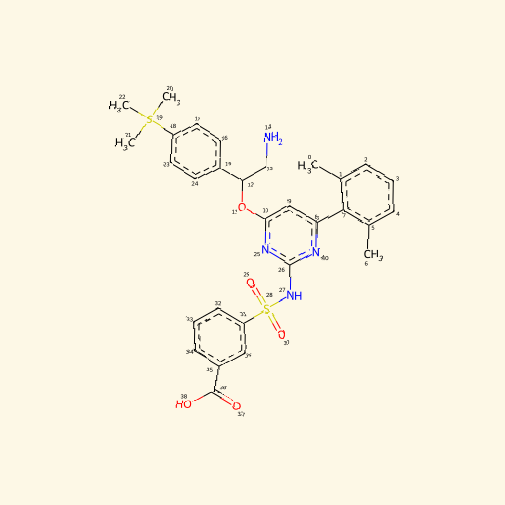 Cc1cccc(C)c1-c1cc(OC(CN)c2ccc(S(C)(C)C)cc2)nc(NS(=O)(=O)c2cccc(C(=O)O)c2)n1